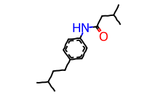 CC(C)CCc1ccc(NC(=O)CC(C)C)cc1